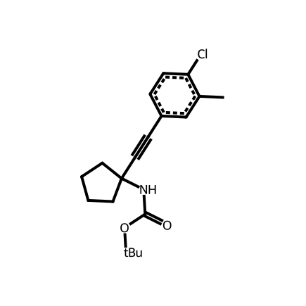 Cc1cc(C#CC2(NC(=O)OC(C)(C)C)CCCC2)ccc1Cl